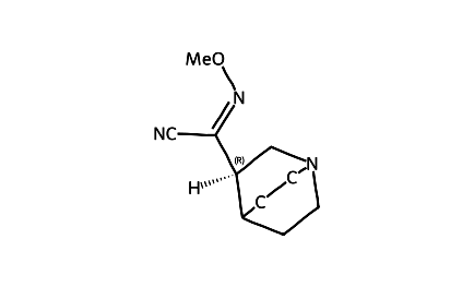 CON=C(C#N)[C@H]1CN2CCC1CC2